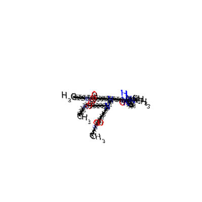 CCCCCC/C=C/COC(=O)CCCCCCCCN(CCCCCCCCC(=O)OC/C=C/CCCCCC)CCCN(CCCCCCCCC(=O)OC/C=C/CCCCCC)CCCCCC(=O)Nc1nc2ccccc2c2c1ncn2CC(C)C